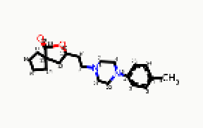 Cc1ccc(N2CCN(CCC3CC4(CCCC4)C(=O)O3)CC2)cc1